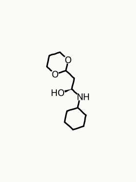 O[C@@H](CC1OCCCO1)NC1CCCCC1